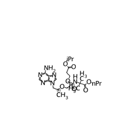 CCCOC(=O)C(C)(C)N[P@@](=O)(CO[C@H](C)Cn1cnc2c(N)ncnc21)OCCC(=O)OC(C)C